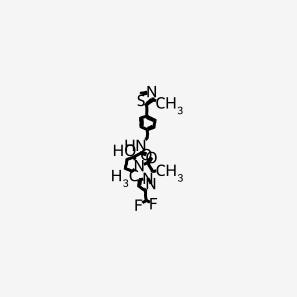 Cc1ncsc1-c1ccc(CNC(=O)[C@@]2(O)CCCN2C(=O)C(C)n2nc(C(F)F)cc2C)cc1